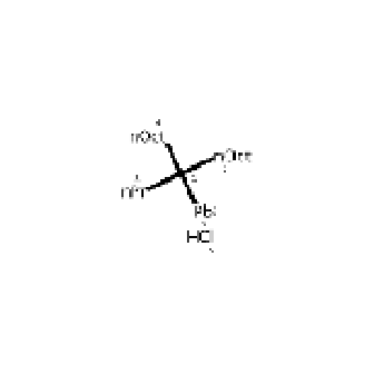 CCCCCCCC[C]([Pb])(CCC)CCCCCCCC.Cl